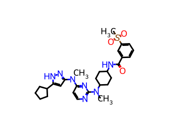 CN(c1cc(C2CCCC2)[nH]n1)c1ccnc(N(C)C2CCC(NC(=O)c3cccc(S(C)(=O)=O)c3)CC2)n1